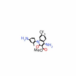 COC(=O)c1c(N)c2ccc(C(F)(F)F)cc2n(-c2ccc(N)cc2C)c1=O